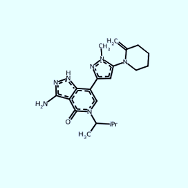 C=C1CCCCN1c1cc(-c2cn(C(C)C(C)C)c(=O)c3c(N)n[nH]c23)nn1C